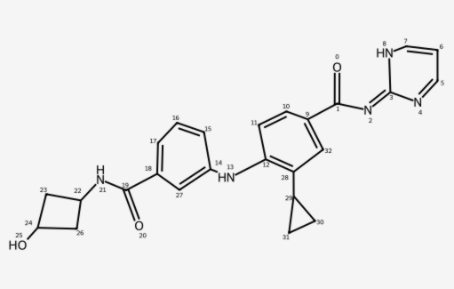 O=C(N=c1nccc[nH]1)c1ccc(Nc2cccc(C(=O)NC3CC(O)C3)c2)c(C2CC2)c1